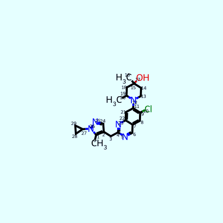 Cc1c(Cc2ncc3cc(Cl)c(N4CCC(C)(O)CC4C)cc3n2)cnn1C1CC1